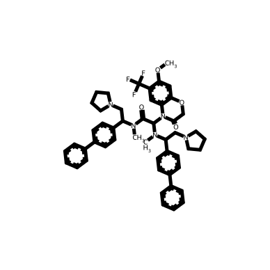 COc1cc2c(cc1C(F)(F)F)N(C(C(=O)N(C)C(CN1CCCC1)c1ccc(-c3ccccc3)cc1)N(C)C(CN1CCCC1)c1ccc(-c3ccccc3)cc1)C(=O)CO2